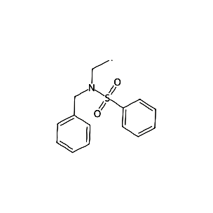 [CH2]CN(Cc1ccccc1)S(=O)(=O)c1ccccc1